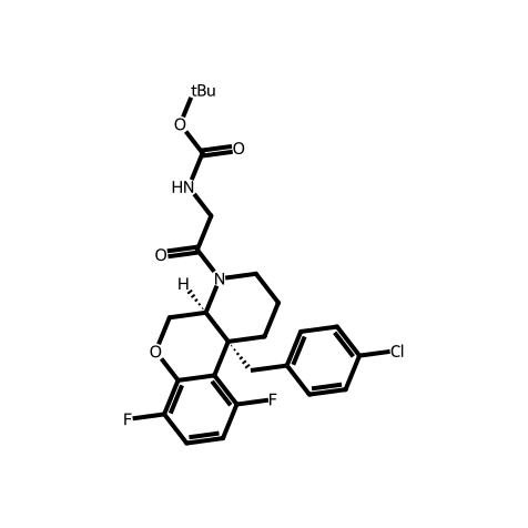 CC(C)(C)OC(=O)NCC(=O)N1CCC[C@@]2(Cc3ccc(Cl)cc3)c3c(F)ccc(F)c3OC[C@@H]12